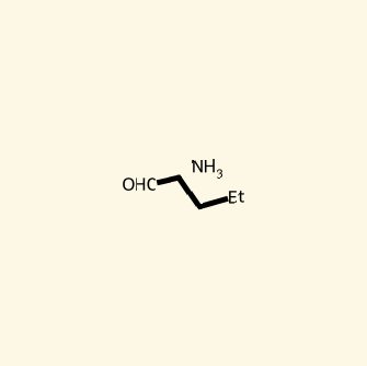 CCCCC=O.N